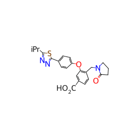 CC(C)c1nnc(-c2ccc(Oc3cc(C(=O)O)ccc3CN3CCCC3=O)cc2)s1